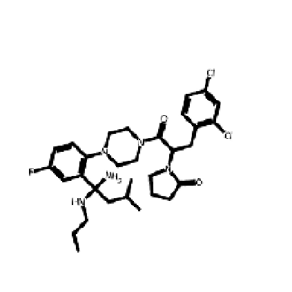 CCCNC(N)(CC(C)C)c1cc(F)ccc1N1CCN(C(=O)C(Cc2ccc(Cl)cc2Cl)N2CCCC2=O)CC1